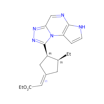 CCOC(=O)/C=C1/C[C@H](CC)[C@H](c2nnc3cnc4[nH]ccc4n23)C1